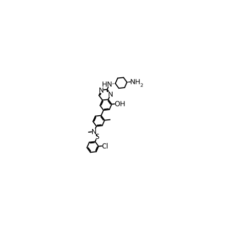 Cc1cc(N(C)Sc2ccccc2Cl)ccc1-c1cc(O)c2nc(N[C@H]3CC[C@H](N)CC3)ncc2c1